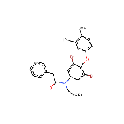 CCOC(=O)CN(C(=O)Cc1ccccc1)c1cc(Br)c(Oc2ccc(OC)c(C(C)C)c2)c(Br)c1